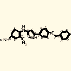 CC(=O)Nc1ccc(Nc2cc(-c3ccc(OCc4ccccc4)cc3)[nH]n2)c(C)c1